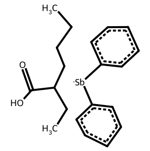 CCCCC(CC)C(=O)O.c1cc[c]([Sb][c]2ccccc2)cc1